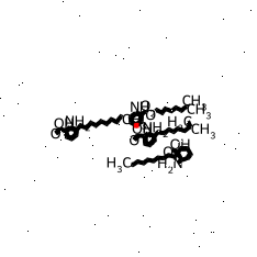 CC(C)CCCCCCOC(=O)c1ccccc1N.CC(C)CCCCCCc1cccc(C(=O)O)c1N.CCCCCCCCCCC1(C(=O)O)C=CC=CC1N.CCCCCCCCCCc1cccc(C(=O)O)c1N